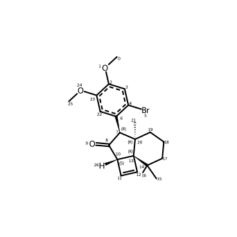 COc1cc(Br)c([C@@H]2C(=O)[C@H]3C=C[C@]34C(C)(C)CCC[C@]24C)cc1OC